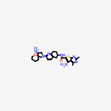 Cc1nc(C)c2c(N)c(C(=O)NC3CCc4nc(N5CC(N)C6(CCCCO6)C5)ccc4C3)sc2n1